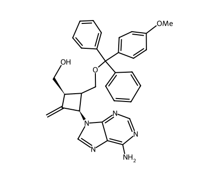 C=C1[C@@H](CO)C(COC(c2ccccc2)(c2ccccc2)c2ccc(OC)cc2)[C@H]1n1cnc2c(N)ncnc21